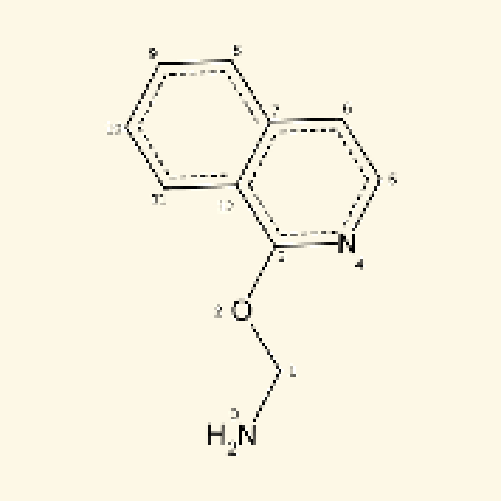 NCOc1nccc2ccccc12